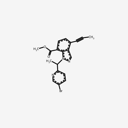 CC#Cc1ccc(C(=O)OC)c2c1cnn2C(C)c1ccc(Br)cn1